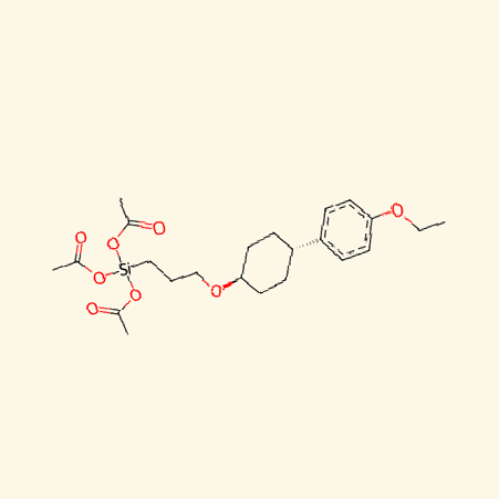 CCOc1ccc([C@H]2CC[C@H](OCCC[Si](OC(C)=O)(OC(C)=O)OC(C)=O)CC2)cc1